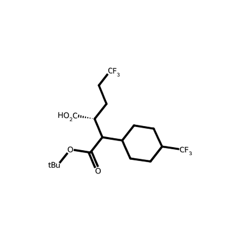 CC(C)(C)OC(=O)C(C1CCC(C(F)(F)F)CC1)[C@@H](CCC(F)(F)F)C(=O)O